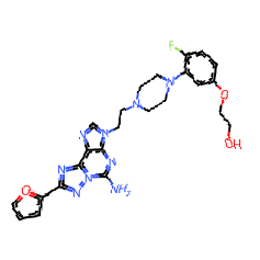 Nc1nc2c(ncn2CCN2CCN(c3cc(OCCO)ccc3F)CC2)c2nc(-c3ccco3)nn12